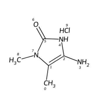 Cc1c(N)[nH]c(=O)n1C.Cl